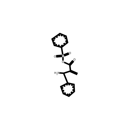 C=C(C(=O)OS(=O)(=O)c1ccccc1)C(N)c1ccccc1